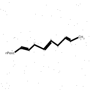 CC=CCC=CCC=CCCCCC